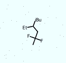 CCC(C)C(CC)CC(C)(F)F